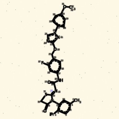 Cc1ccc(C(C)C)c(N2C(=O)CS/C2=N\C(=O)Nc2ccc(COc3ncn(-c4ccc(OC(F)(F)F)cc4)n3)c(F)c2)c1